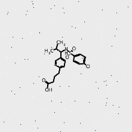 CC(C)C(NS(=O)(=O)c1ccc(Cl)cc1)c1ccc(CCCC(=O)O)cc1